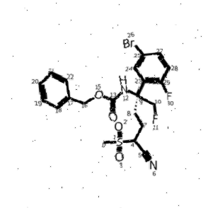 CS(=O)(=O)C(C#N)CC[C@](CF)(NC(=O)OCc1ccccc1)c1cc(Br)ccc1F